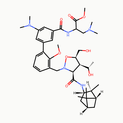 COC(=O)C(CN(C)C)NC(=O)c1cc(-c2cccc(CN3O[C@@H](CO)[C@@H]([C@H](C)O)[C@H]3C(=O)N[C@H]3C[C@H]4C[C@@H]([C@@H]3C)C4(C)C)c2OC)cc(N(C)C)c1